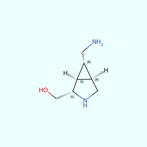 NC[C@@H]1[C@H]2CN[C@H](CO)[C@@H]12